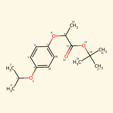 CC(C)Oc1ccc(OC(C)C(=O)OC(C)(C)C)cc1